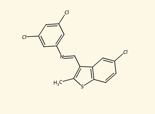 Cc1sc2ccc(Cl)cc2c1/C=N/c1cc(Cl)cc(Cl)c1